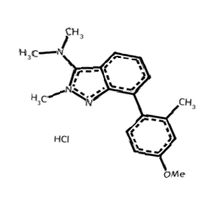 COc1ccc(-c2cccc3c(N(C)C)n(C)nc23)c(C)c1.Cl